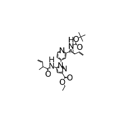 C=CC[C@H](NC(=O)OC(C)(C)C)c1cc(-n2nc(C(=O)OCC)cc2NC(=O)C(C)C=C)ccn1